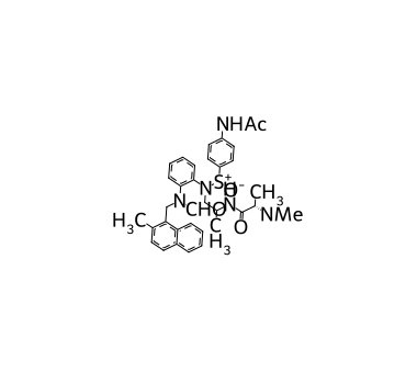 CN[C@@H](C)C(=O)NC(C)CN(c1ccccc1N(C=O)Cc1c(C)ccc2ccccc12)[S+]([O-])c1ccc(NC(C)=O)cc1